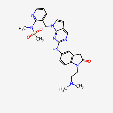 CN(C)CCN1C(=O)Cc2cc(Nc3ncc4ccn(Cc5cccnc5N(C)S(C)(=O)=O)c4n3)ccc21